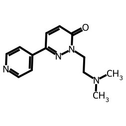 CN(C)CCn1nc(-c2ccncc2)ccc1=O